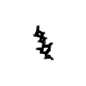 Cc1cc([N+](=O)[O-])cc(C)c1N1CC2(CNC2)C1